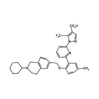 Cc1ccc(OCc2ccc3c(c2)CCN(C2CCCCC2)C3)c(-c2cccc(-n3ncc(C(=O)O)c3C(F)(F)F)n2)c1